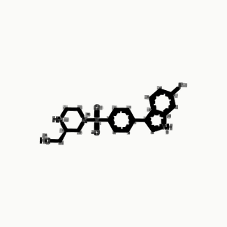 O=S(=O)(c1ccc(-c2c[nH]c3cc(F)ccc23)cc1)N1CCN[C@H](CO)C1